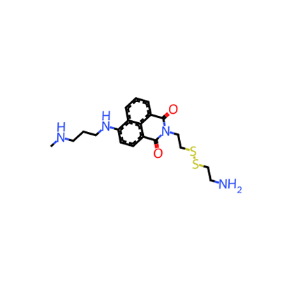 CNCCCNc1ccc2c3c(cccc13)C(=O)N(CCSSCCN)C2=O